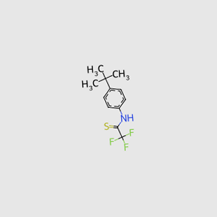 CC(C)(C)c1ccc(NC(=S)C(F)(F)F)cc1